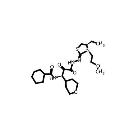 CC[C@@H]1CSC(=NNC(=O)C(=O)[C@H](NC(=O)C2CCCCC2)C2CCOCC2)N1CCOC